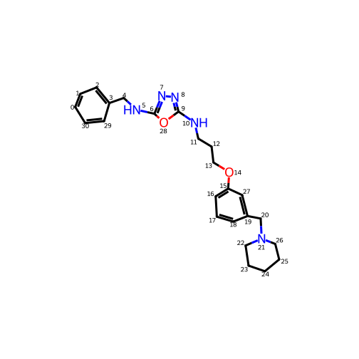 c1ccc(CNc2nnc(NCCCOc3cccc(CN4CCCCC4)c3)o2)cc1